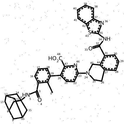 Cc1c(C(=O)NC23CC4CC(CC(C4)C2)C3)cccc1-c1ccc(N2CCc3cccc(C(=O)Nc4nc5ccccc5s4)c3C2)nc1C(=O)O